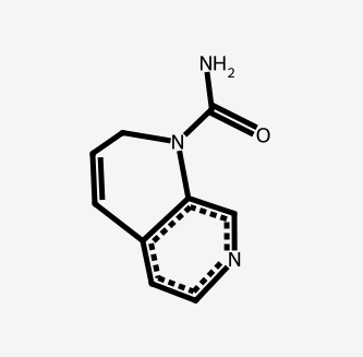 NC(=O)N1CC=Cc2ccncc21